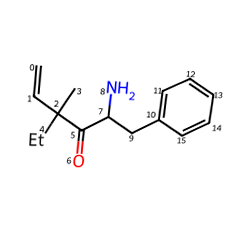 C=CC(C)(CC)C(=O)C(N)Cc1ccccc1